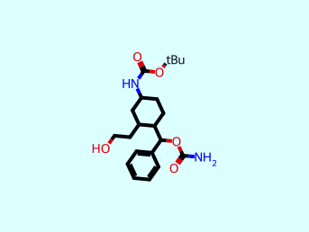 CC(C)(C)OC(=O)NC1CCC(C(OC(N)=O)c2ccccc2)C(CCO)C1